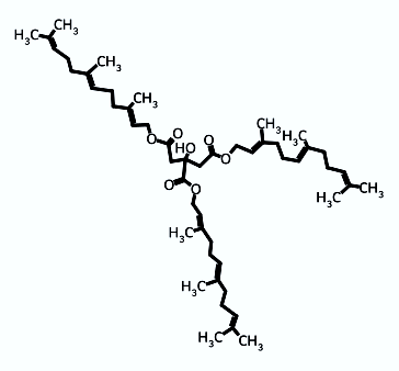 CC(C)=CCC/C(C)=C/CC/C(C)=C/COC(=O)CC(O)(CC(=O)OC/C=C(\C)CC/C=C(\C)CCC=C(C)C)C(=O)OC/C=C(\C)CC/C=C(\C)CCC=C(C)C